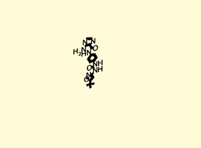 CC(C)(C)c1cc(NC(=O)Nc2ccc(NC(=O)c3nccnc3N)cc2)no1